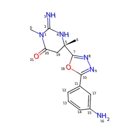 CN1C(=N)N[C@](C)(c2nnc(-c3cccc(N)c3)o2)CC1=O